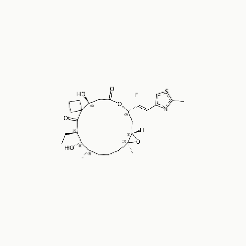 CC[C@H]1C(=O)C2(CCC2)[C@@H](O)CC(=O)O[C@H](C(F)=Cc2csc(C)n2)C[C@@H]2O[C@@]2(C)CCC[C@H](C)[C@@H]1O